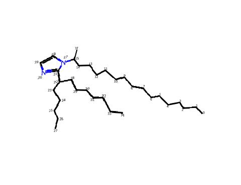 CCCCCCCCCCCCCCCC(C)n1ccnc1C(CCCCC)CCCCCCC